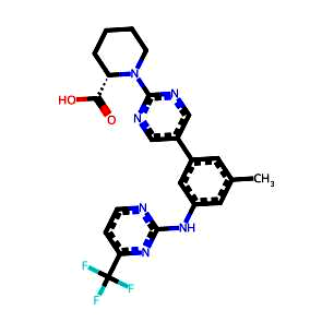 Cc1cc(Nc2nccc(C(F)(F)F)n2)cc(-c2cnc(N3CCCC[C@H]3C(=O)O)nc2)c1